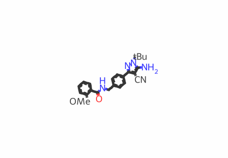 COc1ccccc1C(=O)NCc1ccc(-c2nn(C(C)(C)C)c(N)c2C#N)cc1